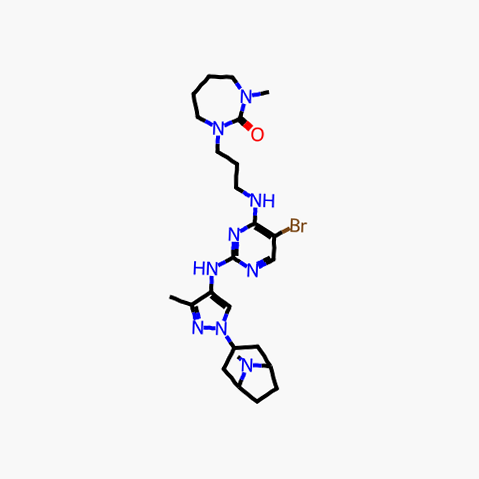 Cc1nn(C2CC3CCC(C2)N3C)cc1Nc1ncc(Br)c(NCCCN2CCCCN(C)C2=O)n1